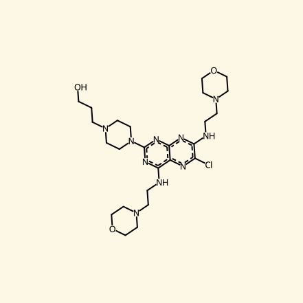 OCCCN1CCN(c2nc(NCCN3CCOCC3)c3nc(Cl)c(NCCN4CCOCC4)nc3n2)CC1